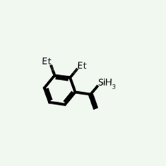 C=C([SiH3])c1cccc(CC)c1CC